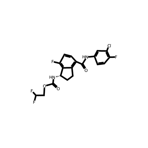 O=C(N[C@H]1CCc2c(C(=O)Nc3ccc(F)c(Cl)c3)ccc(F)c21)OCC(F)F